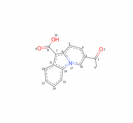 CC(=O)c1ccc2c(C(=O)O)c3ccccc3n2c1